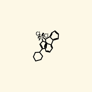 [CH2]=[Zr]([CH3])([CH3])([Cl])([Cl])([CH]1C=CC(C2CCCCC2)=C1)[CH]1c2ccccc2-c2ccccc21